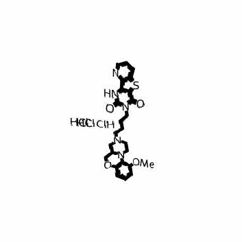 COc1cccc2c1N1CCN(CCCCn3c(=O)[nH]c4c(sc5cccnc54)c3=O)CC1CO2.Cl.Cl.Cl